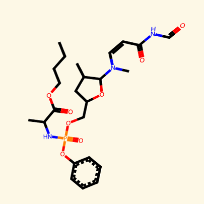 CCCCOC(=O)C(C)NP(=O)(OCC1CC(C)C(N(C)/C=C\C(=O)NC=O)O1)Oc1ccccc1